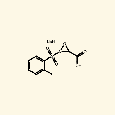 Cc1ccccc1S(=O)(=O)N1OC1C(=O)O.[NaH]